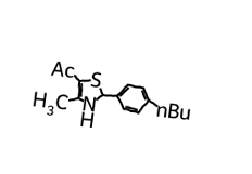 CCCCc1ccc(C2NC(C)=C(C(C)=O)S2)cc1